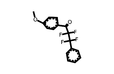 COc1ccc(C(=O)C(F)(F)C(F)(F)c2ccccc2)cc1